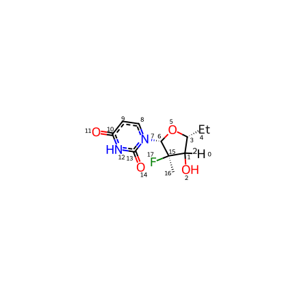 [2H]C1(O)[C@@H](CC)O[C@@H](n2ccc(=O)[nH]c2=O)[C@]1(C)F